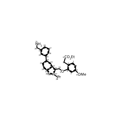 CCOC(=O)Cc1ccc(OC)cc1OCc1c2cc(-c3cccc(CN)c3)ccc2nn1C(C)C